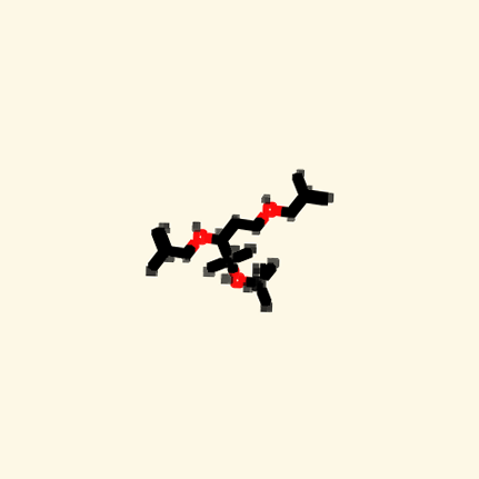 C=C(C)COCCC(OCC(=C)C)[Si](C)(C)O[SiH](C)C